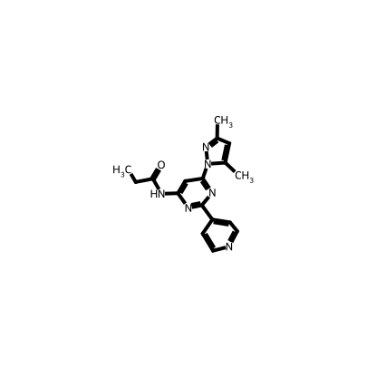 CCC(=O)Nc1cc(-n2nc(C)cc2C)nc(-c2ccncc2)n1